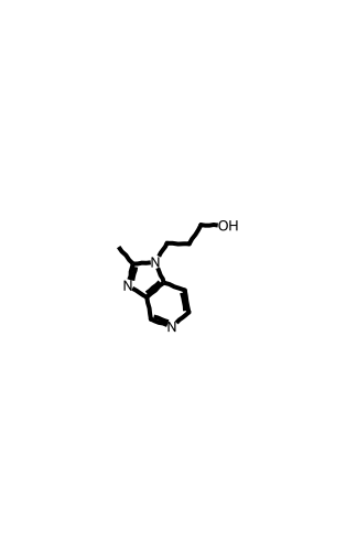 Cc1nc2cnccc2n1CCCO